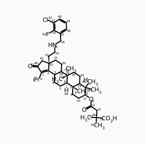 CC(C)C1=C2C3CC[C@@H]4[C@@]5(C)CC[C@H](OC(=O)CC(C)(C)C(=O)O)C(C)(C)[C@@H]5CC[C@@]4(C)[C@]3(C)CC[C@@]2(CCNCc2cccc(Cl)c2F)CC1=O